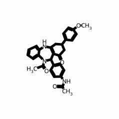 COc1ccc(C2CC(=O)C3=C(C2)Nc2ccccc2N(C(C)=O)C3c2ccc(NC(C)=O)cc2)cc1